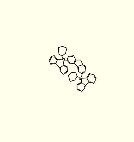 c1ccc2c(c1)-c1ccccc1[Si]2(c1ccc2c(c1)-c1cc([Si]3(C4CCCCC4)c4ccccc4-c4ccccc43)ccc1C2)C1CCCCC1